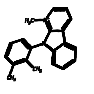 Cc1cccc(-n2c3ccccc3c3ccc[n+](C)c32)c1C